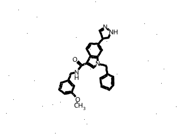 COc1cccc(CNC(=O)c2cn(Cc3ccccc3)c3cc(C4C=NNC4)ccc23)c1